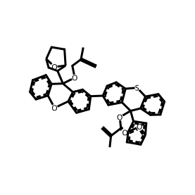 C=C(C)COC1(C2CC3CCC2O3)c2ccccc2Oc2ccc(-c3ccc4c(c3)C(OC(=O)C(=C)C)(c3cc5ccc3o5)c3ccccc3S4)cc21